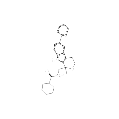 CC1(CNC(=O)C2CCCCC2)OCCc2c1[nH]c1ccc(-c3ccccc3)cc21